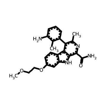 COCCOc1ccc2c(c1)[nH]c1c(C(N)=O)nc(C)c(-c3cccc(N)c3C)c12